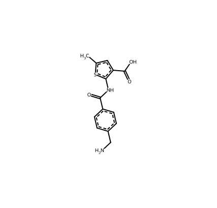 Cc1cc(C(=O)O)c(NC(=O)c2ccc(CN)cc2)s1